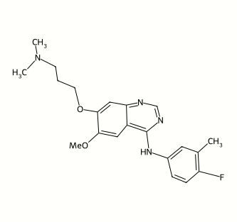 COc1cc2c(Nc3ccc(F)c(C)c3)ncnc2cc1OCCCN(C)C